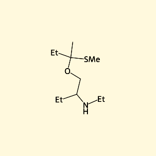 CCNC(CC)COC(C)(CC)SC